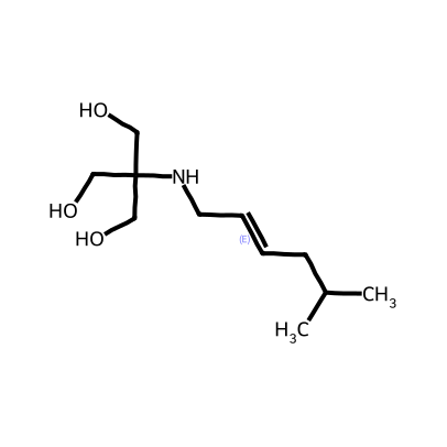 CC(C)C/C=C/CNC(CO)(CO)CO